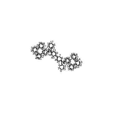 c1ccc(N(c2ccc(-c3ccc(N(c4ccccc4)c4ccc5c(c4)-c4ccccc4-c4ccccc4-c4ccccc4-5)cc3)cc2)c2ccc3c(c2)-c2ccccc2-c2ccccc2-c2ccccc2-3)cc1